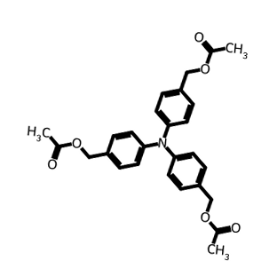 CC(=O)OCc1ccc(N(c2ccc(COC(C)=O)cc2)c2ccc(COC(C)=O)cc2)cc1